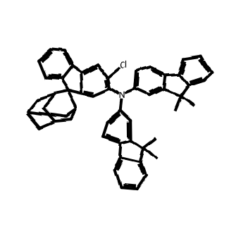 CC1(C)c2ccccc2-c2ccc(N(c3ccc4c(c3)C(C)(C)c3ccccc3-4)c3cc4c(cc3Cl)-c3ccccc3C43C4CC5CC(C4)CC3C5)cc21